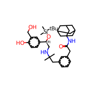 CC(C)(Cc1cccc(CC(=O)NC23CC4CC(CC(C4)C2)C3)c1)NC[C@H](O[Si](C)(C)C(C)(C)C)c1ccc(O)c(CO)c1